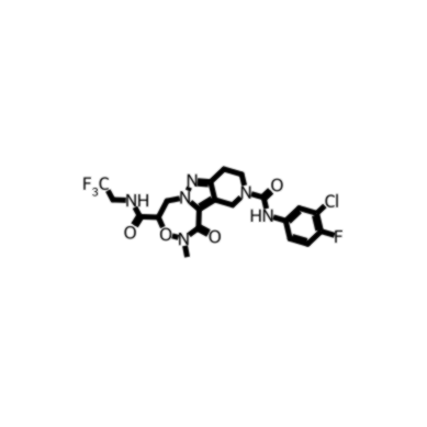 CN1OC(C(=O)NCC(F)(F)F)Cn2nc3c(c2C1=O)CN(C(=O)Nc1ccc(F)c(Cl)c1)CC3